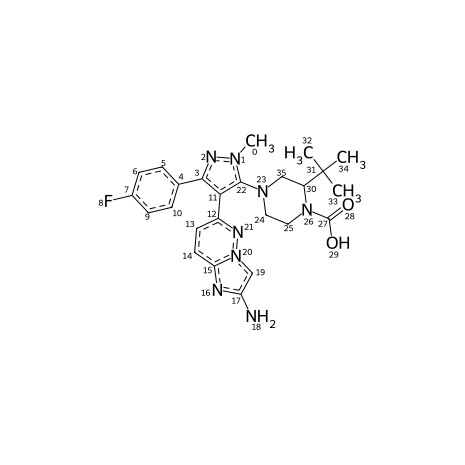 Cn1nc(-c2ccc(F)cc2)c(-c2ccc3nc(N)cn3n2)c1N1CCN(C(=O)O)C(C(C)(C)C)C1